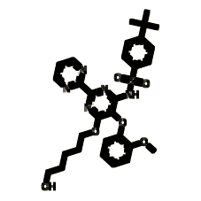 COc1ccccc1Oc1c(NS(=O)(=O)c2ccc(C(C)(C)C)cc2)nc(-c2ncccn2)nc1OCCCCCO